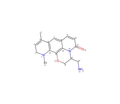 CCN1CC=C(C)c2cc3ccc(=O)n4c3c(c21)OCC4CN